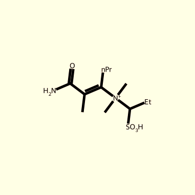 CCCC(=C(C)C(N)=O)[N+](C)(C)C(CC)S(=O)(=O)O